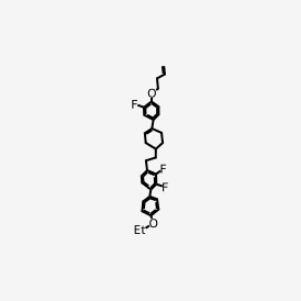 C=CCCOc1ccc(C2=CCC(CCc3ccc(-c4ccc(OCC)cc4)c(F)c3F)CC2)cc1F